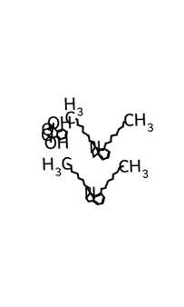 CCCCCCCCc1cccc2c1N(CCCCCCCC)CC2.CCCCCCCCc1cccc2c1N(CCCCCCCC)CC2.O=C(O)c1ccccc1C(=O)O